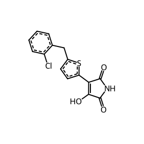 O=C1NC(=O)C(c2ccc(Cc3ccccc3Cl)s2)=C1O